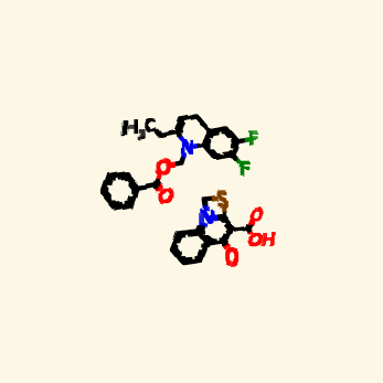 CCC1=CCc2cc(F)c(F)cc2N1COC(=O)c1ccccc1.O=C(O)c1c2n(c3ccccc3c1=O)CS2